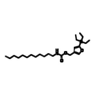 CCCCCCCCCCCCNC(=O)OCc1coc([Si](CC)(CC)CC)c1